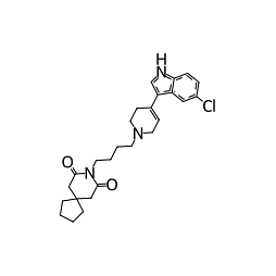 O=C1CC2(CCCC2)CC(=O)N1CCCCN1CC=C(c2c[nH]c3ccc(Cl)cc23)CC1